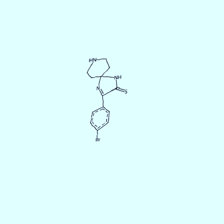 S=C1NC2(CCNCC2)N=C1c1ccc(Br)cc1